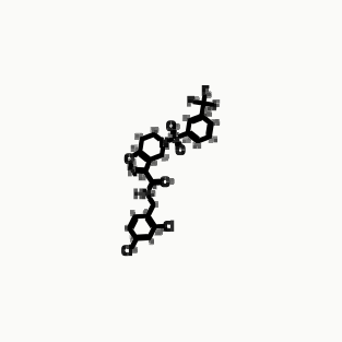 O=C(NCc1ccc(Cl)cc1Cl)c1noc2c1CN(S(=O)(=O)c1cccc(C(F)(F)F)c1)CC2